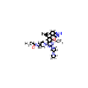 C=CC(=O)N1CC2(CCN(c3nc(N4CC[C@@H](N5CCCC5)C4)nc4c(OCC(F)(F)F)c(-c5c(C)ccc6[nH]ncc56)c(C5CC5)cc34)CC2)C1